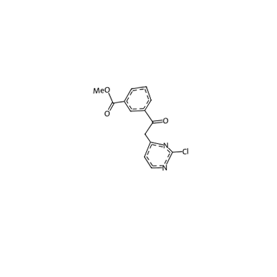 COC(=O)c1cccc(C(=O)Cc2ccnc(Cl)n2)c1